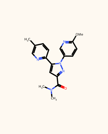 COc1ccc(-n2nc(C(=O)N(C)C)cc2-c2ccc(C)cn2)cn1